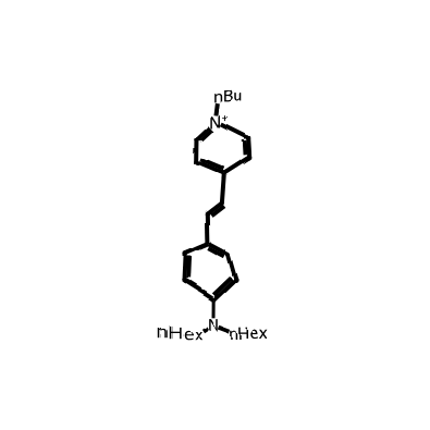 CCCCCCN(CCCCCC)c1ccc(/C=C/c2cc[n+](CCCC)cc2)cc1